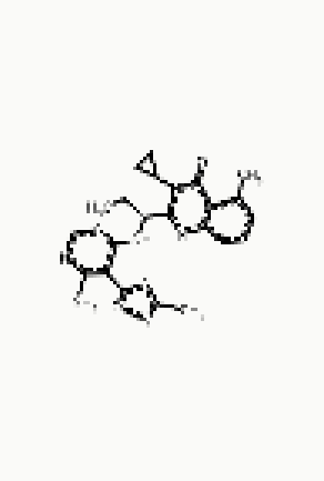 CC[C@H](Nc1ncnc(N)c1-c1nc(C)no1)c1nc2cccc(C)c2c(=O)n1C1CC1